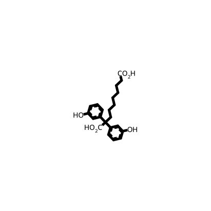 O=C(O)CCCCCCCC(C(=O)O)(c1cccc(O)c1)c1cccc(O)c1